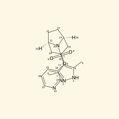 Cc1n[nH]c(C)c1S(=O)(=O)N1[C@@H]2CC[C@H]1CC(Oc1cccnn1)C2